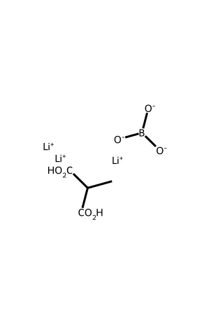 CC(C(=O)O)C(=O)O.[Li+].[Li+].[Li+].[O-]B([O-])[O-]